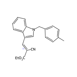 CCOC(=O)/C(C#N)=C/c1cn(Cc2ccc(C)cc2)c2ccccc12